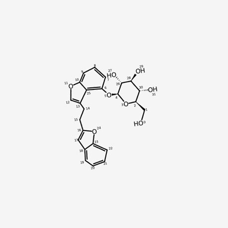 OC[C@H]1O[C@@H](Oc2cccc3occ(CCc4cc5ccccc5o4)c23)[C@H](O)[C@@H](O)[C@@H]1O